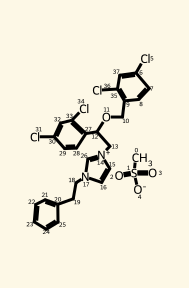 CS(=O)(=O)[O-].Clc1ccc(COC(C[n+]2ccn(CCc3ccccc3)c2)c2ccc(Cl)cc2Cl)c(Cl)c1